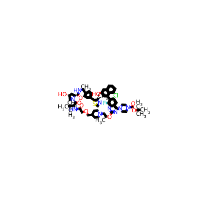 Cc1ncsc1-c1ccc([C@H](C)NC(=O)[C@@H]2C[C@@H](O)CN2C(=O)[C@@H](NC(=O)COCC2CCN(C[C@@H](C)Oc3nc(N4CCN(C(=O)OC(C)(C)C)CC4)c4cc(Cl)c(-c5cc(O)cc6ccccc56)c(F)c4n3)CC2)C(C)(C)C)cc1